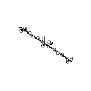 C=CC(=O)NCCCOCCOCCOCCCNC(=O)CCN(CCCOCCOCCOCCCNC(=O)C=C)C(=O)C=C